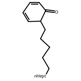 CCCCCCCCCCCCC1C=CC=CC1=O